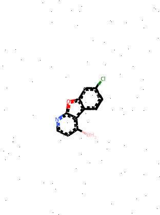 Bc1ccnc2oc3cc(Cl)ccc3c12